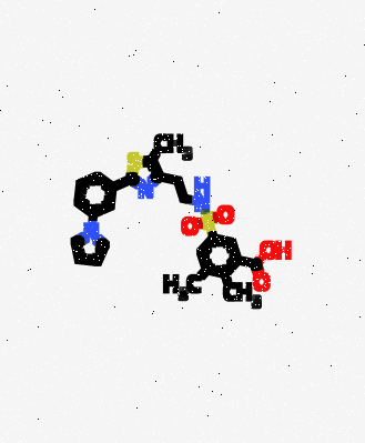 Cc1cc(S(=O)(=O)NCCc2nc(-c3cccc(-n4cccc4)c3)sc2C)cc(C(=O)O)c1C